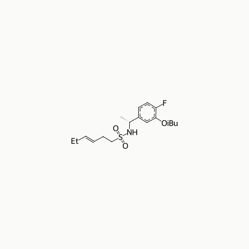 CC/C=C/CCS(=O)(=O)N[C@H](C)c1ccc(F)c(OCC(C)C)c1